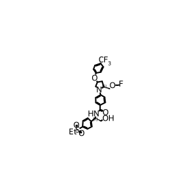 CCS(=O)(=O)c1ccc([C@H](CO)NC(=O)c2ccc(N3CC(Oc4ccc(C(F)(F)F)cc4)C[C@H]3COCF)cc2)cc1